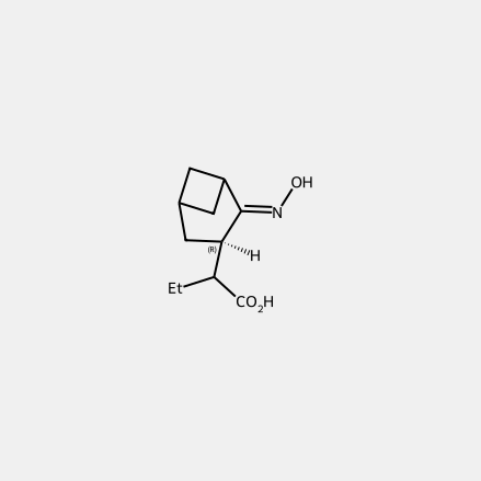 CCC(C(=O)O)[C@H]1CC2CC(C2)C1=NO